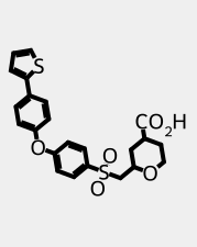 O=C(O)C1CCOC(CS(=O)(=O)c2ccc(Oc3ccc(-c4cccs4)cc3)cc2)C1